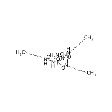 CCCCCCCCCCCCNC(=O)CCNCCN(CCC(=O)NCCCCCCCCCCCC)CCN(CCC(=O)NCCCCCCCCCCCC)C(C)C(N)=O